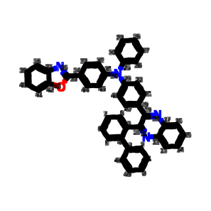 c1ccc(-c2ccccc2-c2nc3ccccc3nc2-c2ccc(N(c3ccccc3)c3ccc(-c4nc5ccccc5o4)cc3)cc2)cc1